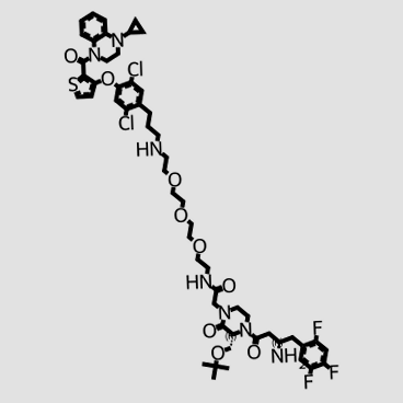 CC(C)(C)OC[C@@H]1C(=O)N(CC(=O)NCCOCCOCCOCCNCCCc2cc(Cl)c(Oc3ccsc3C(=O)N3CCN(C4CC4)c4ccccc43)cc2Cl)CCN1C(=O)C[C@H](N)Cc1cc(F)c(F)cc1F